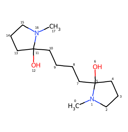 CN1CCCC1(O)CCCCC1(O)CCCN1C